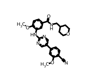 COc1cc(-c2cnc(Nc3cc(C(=O)NCC4CCOCC4)ccc3OC)nc2)ccc1C#N